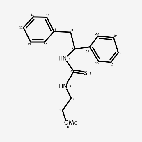 COCCNC(=S)NC(Cc1ccccc1)c1ccccc1